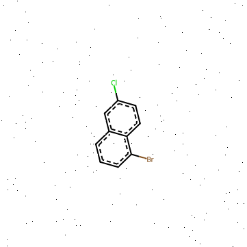 Clc1ccc2c(Br)cc[c]c2c1